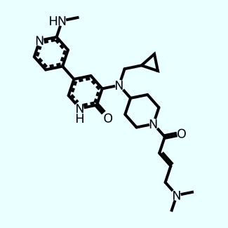 CNc1cc(-c2c[nH]c(=O)c(N(CC3CC3)C3CCN(C(=O)C=CCN(C)C)CC3)c2)ccn1